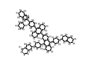 C[C@H]1CC=Cc2cc(-c3ccc(-c4c5ccccc5c(-c5ccc(-c6ccc7ccccc7c6)cc5)c5ccc(-c6c7ccccc7c(-c7ccc(-c8nc9ccccc9n8-c8ccccc8)cc7)c7ccccc67)cc45)cc3)ccc21